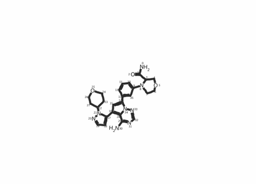 NC(=O)C1COCCN1c1cccc(-c2cc(-c3ccnn3C3CCOCC3)c3c(N)ncnn23)c1